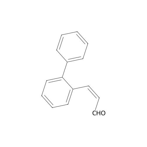 O=C/C=C\c1ccccc1-c1ccccc1